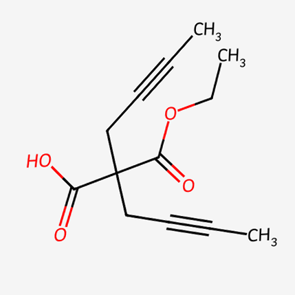 CC#CCC(CC#CC)(C(=O)O)C(=O)OCC